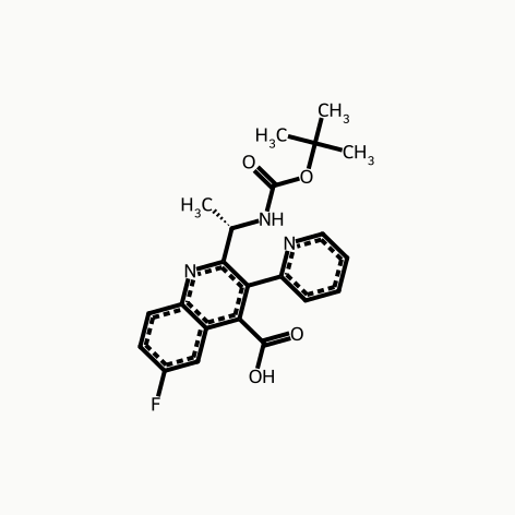 C[C@H](NC(=O)OC(C)(C)C)c1nc2ccc(F)cc2c(C(=O)O)c1-c1ccccn1